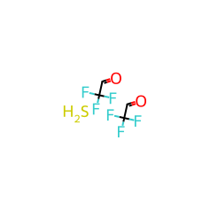 O=CC(F)(F)F.O=CC(F)(F)F.S